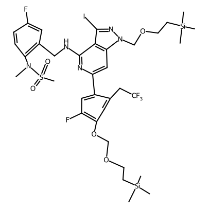 CN(c1ccc(F)cc1CNc1nc(-c2cc(F)c(OCOCC[Si](C)(C)C)cc2CC(F)(F)F)cc2c1c(I)nn2COCC[Si](C)(C)C)S(C)(=O)=O